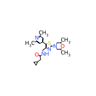 Cc1cc(-c2sc(N3CC(C)OC(C)C3)nc2CNC(=O)CC2CC2)cc(C)n1